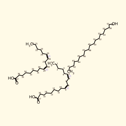 CCCCC/C=C\C/C=C\CCCCCCCC(=O)O.CCCCC/C=C\C/C=C\CCCCCCCC(=O)O.CCCCCCCCCCCCCCCCCCO